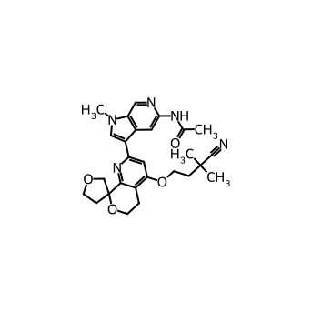 CC(=O)Nc1cc2c(-c3cc(OCCC(C)(C)C#N)c4c(n3)C3(CCOC3)OCC4)cn(C)c2cn1